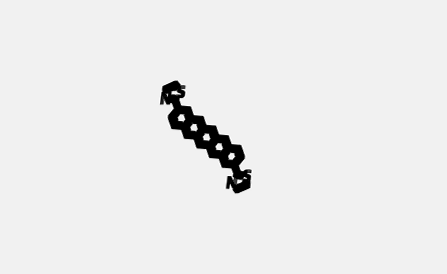 c1csc(-c2ccc3cc4cc5cc6cc(-c7nccs7)ccc6cc5cc4cc3c2)n1